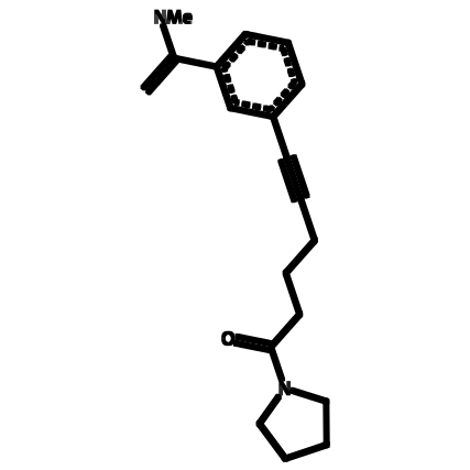 C=C(NC)c1cccc(C#CCCCC(=O)N2CCCC2)c1